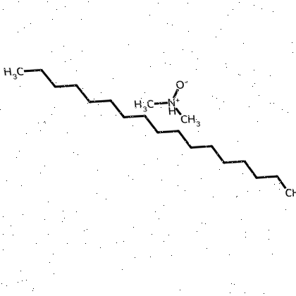 CCCCCCCCCCCCCCCCC.C[NH+](C)[O-]